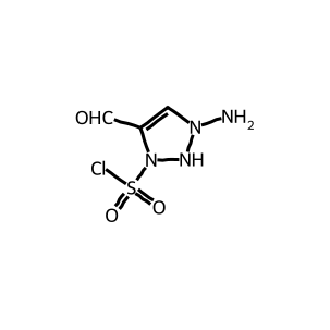 NN1C=C(C=O)N(S(=O)(=O)Cl)N1